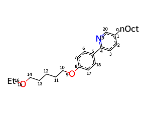 CCCCCCCCc1ccc(-c2ccc(OCCCCCOCC)cc2)nc1